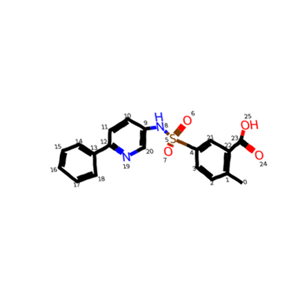 Cc1ccc(S(=O)(=O)Nc2ccc(-c3ccccc3)nc2)cc1C(=O)O